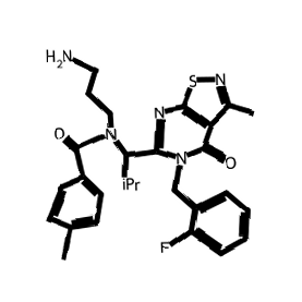 Cc1ccc(C(=O)N(CCCN)C(c2nc3snc(C)c3c(=O)n2Cc2ccccc2F)C(C)C)cc1